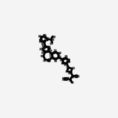 CC(O)C(=O)N1CC(n2cc(-c3ccc4c(c3)OCCc3sc(-c5ncnn5C(C)C)nc3-4)cn2)C1